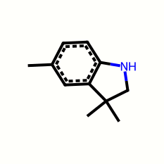 Cc1ccc2c(c1)C(C)(C)CN2